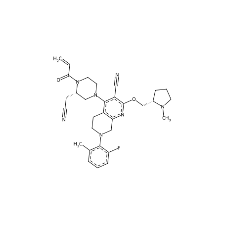 C=CC(=O)N1CCN(c2c(C#N)c(OC[C@@H]3CCCN3C)nc3c2CCN(c2c(C)cccc2F)C3)C[C@@H]1CC#N